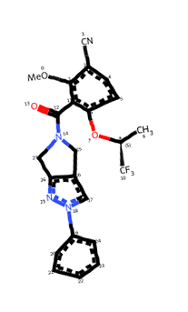 COc1c(C#N)ccc(O[C@@H](C)C(F)(F)F)c1C(=O)N1Cc2cn(-c3ccccc3)nc2C1